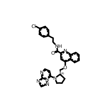 O=C(NCCc1ccc(Cl)cc1)c1cc(OC[C@H]2CCCN2c2ccnc3ncnn23)c2ccccc2n1